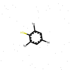 [2H]c1cc([2H])c(S)c([2H])c1